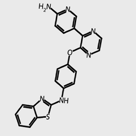 Nc1ccc(-c2nccnc2Oc2ccc(Nc3nc4ccccc4s3)cc2)cn1